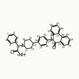 [NH]C(=O)C(c1ccccc1)N1CCC(c2ccc(NC(=O)c3ccccc3-c3ccccc3)cc2)CC1